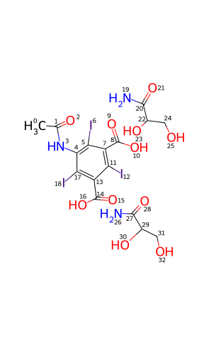 CC(=O)Nc1c(I)c(C(=O)O)c(I)c(C(=O)O)c1I.NC(=O)C(O)CO.NC(=O)C(O)CO